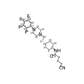 N#CCCCC(=O)N[C@H]1CC[C@H](CCN2CCN(c3cc(F)c(F)c(F)c3F)CC2)CC1